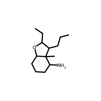 CCCC1C(CC)OC2CCCC(N)C21C